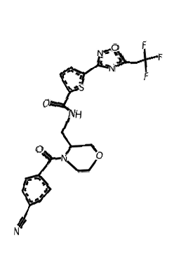 N#Cc1ccc(C(=O)N2CCOCC2CNC(=O)c2ccc(-c3noc(C(F)(F)F)n3)s2)cc1